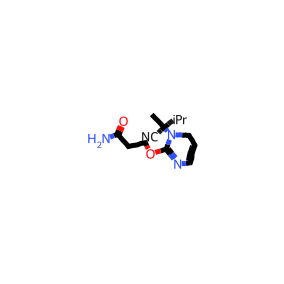 CC(C)C(C)(C#N)N1CC=CN=C1OCCC(N)=O